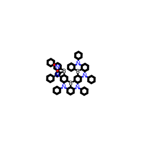 c1ccc(N2c3ccccc3B3c4cc5c(cc4N(c4ccccc4)c4cccc2c43)N(c2ccccc2)c2cccc3c2B5c2cc4c(cc2N3c2ccccc2)N(c2ccccc2)c2cccc3c2B4c2ccccc2N3c2ccccc2)cc1